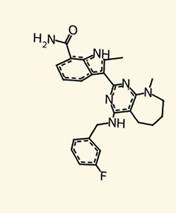 Cc1[nH]c2c(C(N)=O)cccc2c1-c1nc(NCc2cccc(F)c2)c2c(n1)N(C)CCCC2